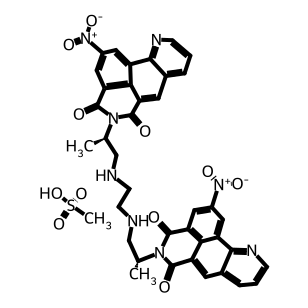 CS(=O)(=O)O.C[C@H](CNCCNC[C@@H](C)N1C(=O)c2cc([N+](=O)[O-])cc3c2c(cc2cccnc23)C1=O)N1C(=O)c2cc([N+](=O)[O-])cc3c2c(cc2cccnc23)C1=O